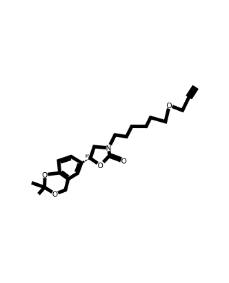 C#CCOCCCCCCN1C[C@@H](c2ccc3c(c2)COC(C)(C)O3)OC1=O